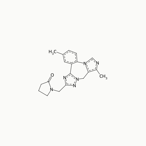 Cc1ccc2c(c1)-c1nc(CN3CCCC3=O)nn1Cc1c(C)ncn1-2